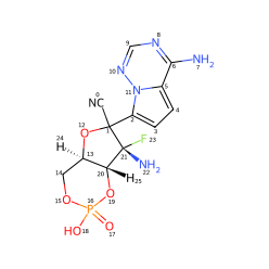 N#CC1(c2ccc3c(N)ncnn23)O[C@@H]2COP(=O)(O)O[C@H]2[C@@]1(N)F